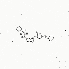 Cc1ccc(S(=O)(=O)NC(=O)c2ccc3nc(C)n(Cc4ccc(OCC5CCCCC5)cc4Cl)c3c2)cc1